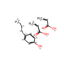 C=CC(=O)O.C=CC(=O)O.CCCc1ccc(O)cc1